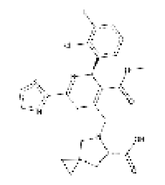 COC(=O)C1=C(CN2CC3(CC3)C[C@H]2C(=O)O)NC(c2nccs2)=N[C@H]1c1cccc(I)c1Cl